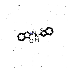 O=C1/C(=N\Nc2cc3ccccc3s2)Cc2ccccc21